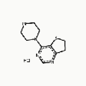 Cl.c1nc2c(c(N3CCNCC3)n1)SCC2